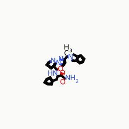 CC(c1ccn(-c2ncccc2C(=O)NC(Cc2ccccc2)C(=O)C(N)=O)n1)N1Cc2ccccc2C1